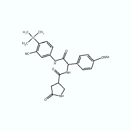 COc1ccc(C(NC(=O)C2CNC(=O)C2)C(=O)Nc2ccc([Si](C)(C)C)c(C#N)c2)cc1